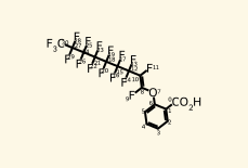 O=C(O)c1ccccc1OC(F)=C(F)C(F)(F)C(F)(F)C(F)(F)C(F)(F)C(F)(F)C(F)(F)C(F)(F)F